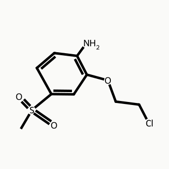 CS(=O)(=O)c1ccc(N)c(OCCCl)c1